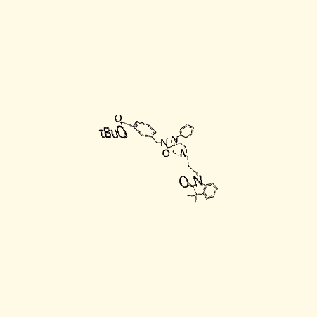 CC(C)(C)OC(=O)c1cccc(CN2CN(c3ccccc3)C3(CCN(CCCN4C(=O)C(C)(C)c5ccccc54)CC3)C2=O)c1